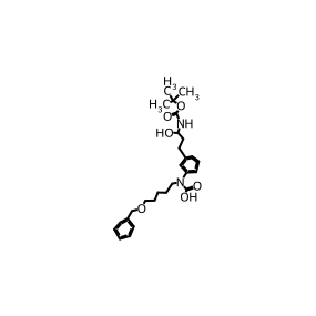 CC(C)(C)OC(=O)NC(O)CCc1cccc(N(CCCCCOCc2ccccc2)C(=O)O)c1